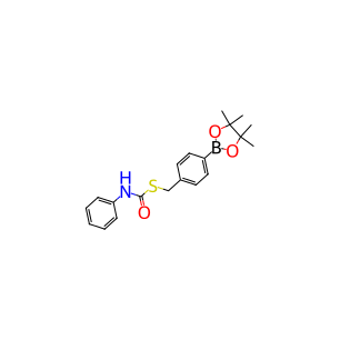 CC1(C)OB(c2ccc(CSC(=O)Nc3ccccc3)cc2)OC1(C)C